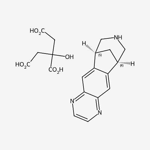 O=C(O)CC(O)(CC(=O)O)C(=O)O.c1cnc2cc3c(cc2n1)[C@@H]1CNC[C@H]3C1